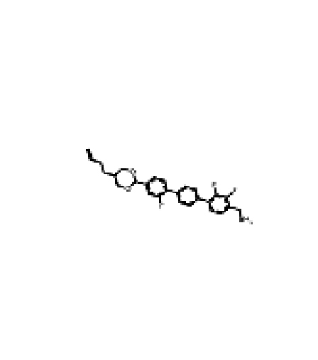 BCc1ccc(-c2ccc(-c3ccc(C4OCC(CCC=C)CO4)cc3F)cc2)c(F)c1F